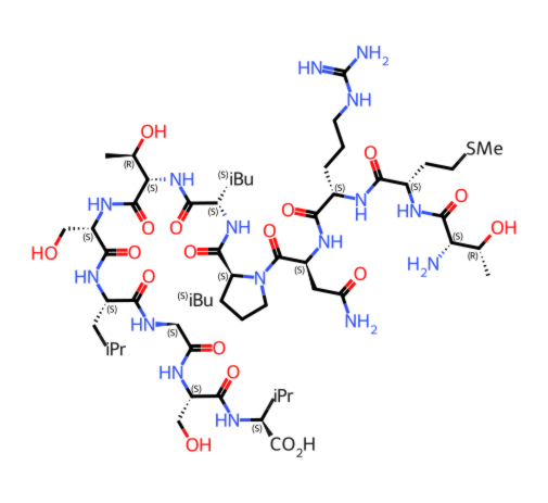 CC[C@H](C)[C@H](NC(=O)[C@H](CC(C)C)NC(=O)[C@H](CO)NC(=O)[C@@H](NC(=O)[C@@H](NC(=O)[C@@H]1CCCN1C(=O)[C@H](CC(N)=O)NC(=O)[C@H](CCCNC(=N)N)NC(=O)[C@H](CCSC)NC(=O)[C@@H](N)[C@@H](C)O)[C@@H](C)CC)[C@@H](C)O)C(=O)N[C@@H](CO)C(=O)N[C@H](C(=O)O)C(C)C